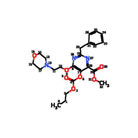 CCCOC(=O)Oc1c(OCCN2CCOCC2)nc(Cc2ccccc2)nc1C(=O)OC